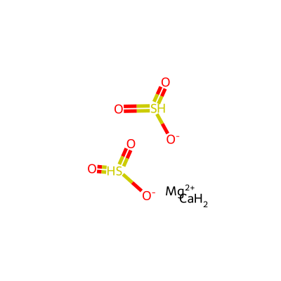 O=[SH](=O)[O-].O=[SH](=O)[O-].[CaH2].[Mg+2]